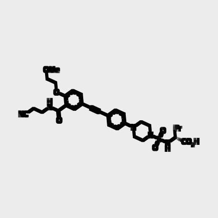 COCCOc1ccc(C#Cc2ccc(N3CCN(S(=O)(=O)N[C@@H](C(=O)O)C(C)C)CC3)cc2)cc1C(=O)NCCC#N